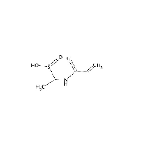 C=CC(=O)NC(C)S(=O)O